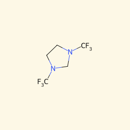 FC(F)(F)N1CCN(C(F)(F)F)C1